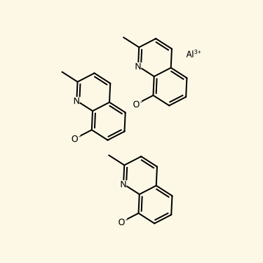 Cc1ccc2cccc([O-])c2n1.Cc1ccc2cccc([O-])c2n1.Cc1ccc2cccc([O-])c2n1.[Al+3]